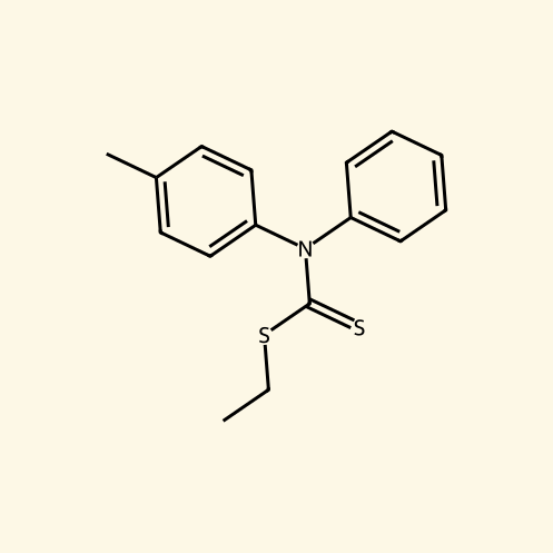 CCSC(=S)N(c1ccccc1)c1ccc(C)cc1